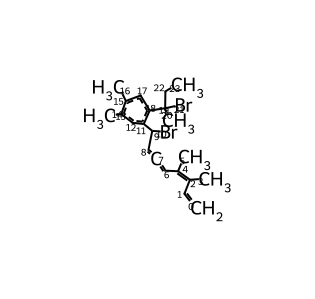 C=C/C(C)=C(/C)C=C=CC(Br)c1cc(C)c(C)cc1C(C)(Br)CC